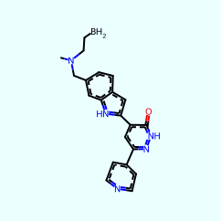 BCCN(C)Cc1ccc2cc(-c3cc(-c4ccncc4)n[nH]c3=O)[nH]c2c1